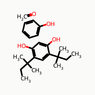 C=O.CCC(C)(C)c1cc(C(C)(C)CC)c(O)cc1O.Oc1ccccc1